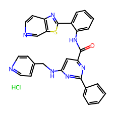 Cl.O=C(Nc1ccccc1-c1nc2ccncc2s1)c1cc(NCc2ccncc2)nc(-c2ccccc2)n1